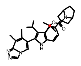 Cc1c(-c2[nH]c3ccc(C4CC5CCC(C4)N5C(=O)OC(C)(C)C)cc3c2C(C)C)cn2cnnc2c1C